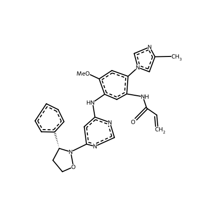 C=CC(=O)Nc1cc(Nc2cc(N3OCC[C@@H]3c3ccccc3)ncn2)c(OC)cc1-n1cnc(C)c1